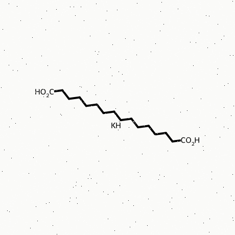 O=C(O)CCCCCCCCCCCCCCC(=O)O.[KH]